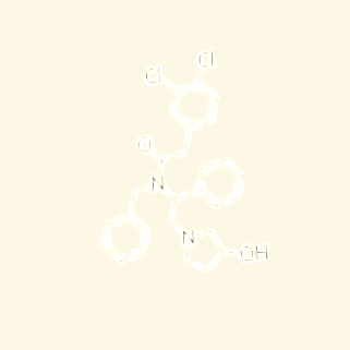 O=C(Cc1ccc(Cl)c(Cl)c1)N(Cc1ccccc1)C(CN1CCC(O)C1)c1ccccc1